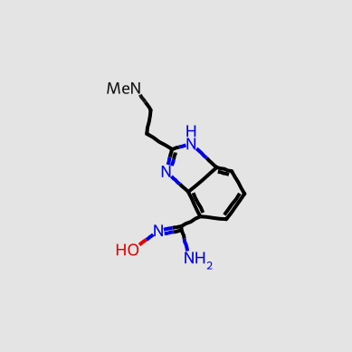 CNCCc1nc2c(C(N)=NO)cccc2[nH]1